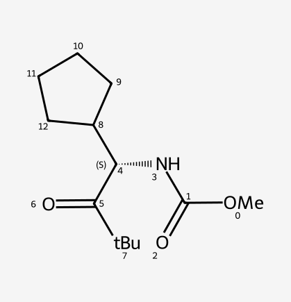 COC(=O)N[C@H](C(=O)C(C)(C)C)C1CCCC1